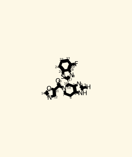 [2H]c1nc2c([nH]1)CCN(C(=O)c1cnco1)[C@@H]2c1nc2c(F)cccc2s1